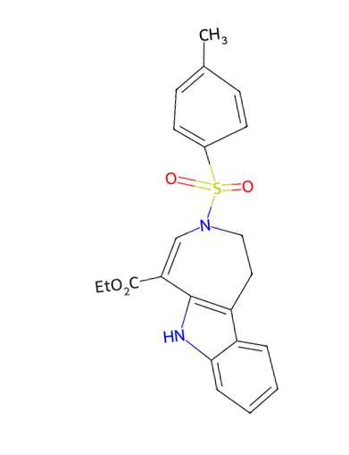 CCOC(=O)C1=CN(S(=O)(=O)c2ccc(C)cc2)CCc2c1[nH]c1ccccc21